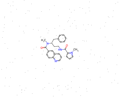 CN(C(=O)c1ccc2ncccc2c1)C(CCNC(=O)c1cccn1C)Cc1ccccc1